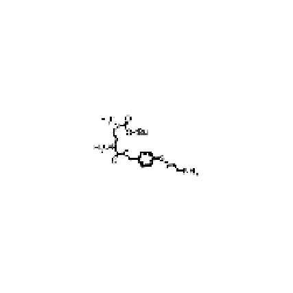 CN(CCN(C)C(=O)OC(C)(C)C)C(=O)OCc1ccc(SSCCN)cc1